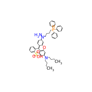 CCCCN(CCCC)c1ccc2c(-c3ccccc3S(=O)(=O)O)c3cc/c(=[N+](\N)CCCC[PH](c4ccccc4)(c4ccccc4)c4ccccc4)cc-3oc2c1